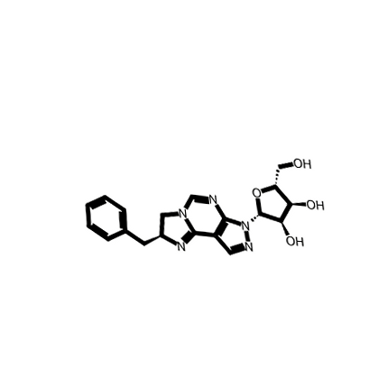 OC[C@H]1O[C@@H](n2ncc3c2N=CN2C[C@H](Cc4ccccc4)N=C32)[C@H](O)[C@@H]1O